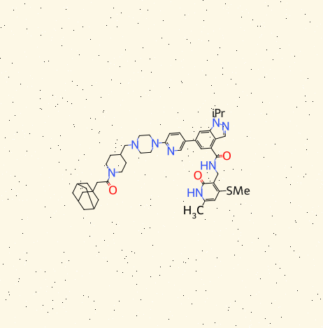 CSc1cc(C)[nH]c(=O)c1CNC(=O)c1cc(-c2ccc(N3CCN(CC4CCN(C(=O)CC56CC7CC(CC(C7)C5)C6)CC4)CC3)nc2)cc2c1cnn2C(C)C